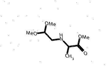 COC(=O)C(C)NCC(OC)OC